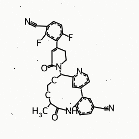 CC1CCCC(N2CCC(c3c(F)ccc(C#N)c3F)=CC2=O)c2cc(ccn2)-c2cc(C#N)ccc2NC1=O